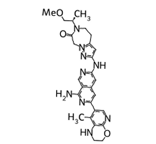 COC[C@@H](C)N1CCc2cc(Nc3cc4cc(-c5cnc6c(c5C)NCCO6)nc(N)c4cn3)nn2CC1=O